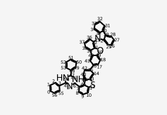 c1ccc(C2=NC(c3cccc4sc5cc(-c6ccc7oc8c(-n9c%10ccccc%10c%10ccccc%109)cccc8c7c6)ccc5c34)NC(c3ccccc3)N2)cc1